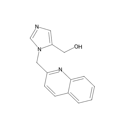 OCc1cncn1Cc1ccc2ccccc2n1